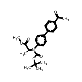 COC(=O)[C@H](C)N(C(=O)OC(C)(C)C)c1ccc(-c2ccc(C(C)=O)cc2)cc1